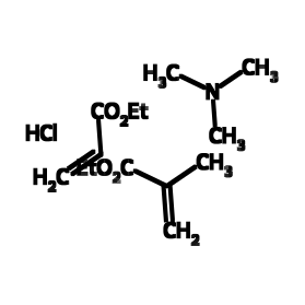 C=C(C)C(=O)OCC.C=CC(=O)OCC.CN(C)C.Cl